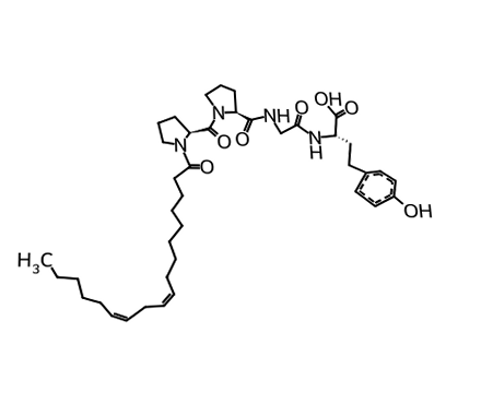 CCCCC/C=C\C/C=C\CCCCCCCC(=O)N1CCC[C@H]1C(=O)N1CCC[C@H]1C(=O)NCC(=O)N[C@@H](CCc1ccc(O)cc1)C(=O)O